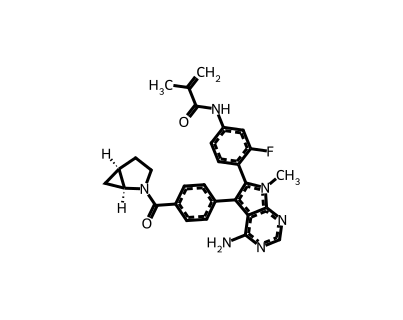 C=C(C)C(=O)Nc1ccc(-c2c(-c3ccc(C(=O)N4CC[C@@H]5C[C@@H]54)cc3)c3c(N)ncnc3n2C)c(F)c1